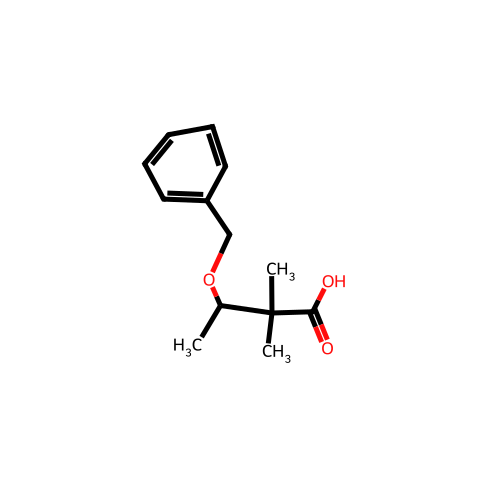 CC(OCc1ccccc1)C(C)(C)C(=O)O